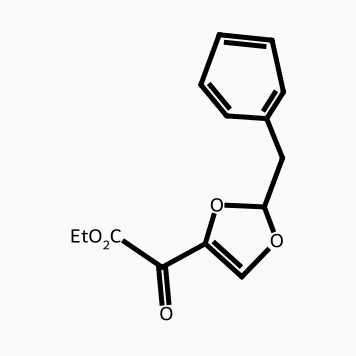 CCOC(=O)C(=O)C1=COC(Cc2ccccc2)O1